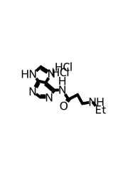 CCNCCC(=O)Nc1ncnc2[nH]cnc12.Cl.Cl